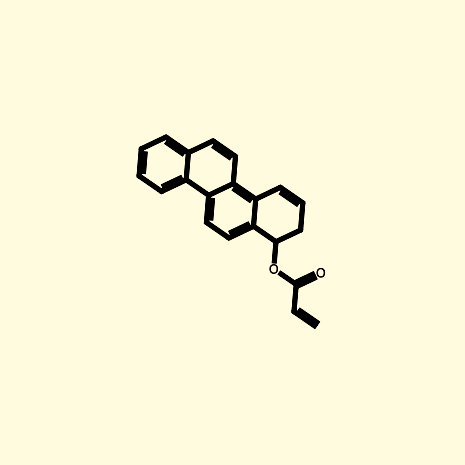 C=CC(=O)OC1CC=Cc2c1ccc1c2ccc2ccccc21